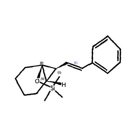 C[Si](C)(C)O[C@]12CCCC[C@H]1[C@@H]2/C=C/c1ccccc1